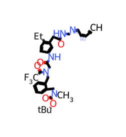 C#C/C=C\C=N/CNC(=O)Cc1cc(NC(=O)CN(Cc2ccccc2CN(C)C(=O)OC(C)(C)C)C(=O)C(F)(F)F)ccc1CC